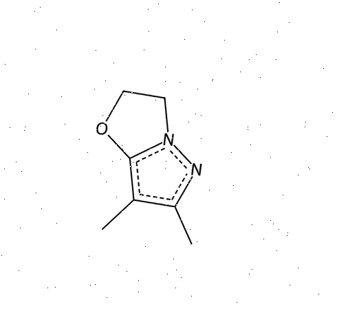 Cc1nn2c(c1C)OCC2